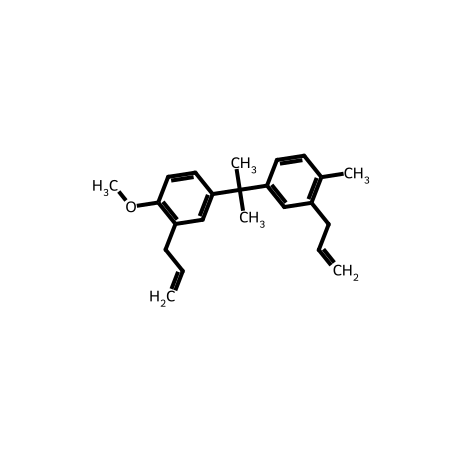 C=CCc1cc(C(C)(C)c2ccc(OC)c(CC=C)c2)ccc1C